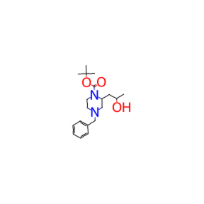 CC(O)CC1CN(Cc2ccccc2)CCN1C(=O)OC(C)(C)C